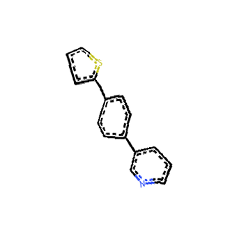 c1cncc(-c2ccc(-c3cccs3)cc2)c1